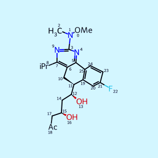 CON(C)c1nc2c(c(C(C)C)n1)C[C@H]([C@@H](O)C[C@@H](O)CC(C)=O)c1cc(F)ccc1-2